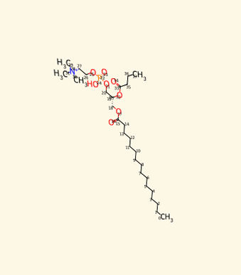 CCCCCCCCCCCCCCCC(=O)OC[C@H](COP(=O)(O)OCC[N+](C)(C)C)OC(=O)CCC